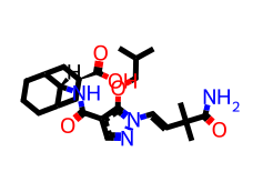 CC(C)COc1c(C(=O)N[C@H]2C3CCCC2C[C@H](C(=O)O)C3)cnn1/C=C/C(C)(C)C(N)=O